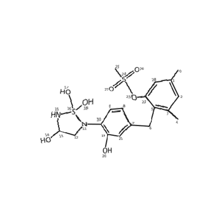 Cc1cc(C)c(Cc2ccc(N3CC(O)NS3(O)O)c(O)c2)c(OS(C)(=O)=O)c1